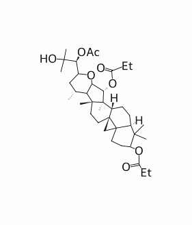 CCC(=O)OC1CCC23C[C@]24CC[C@]2(C)C5C(OC([C@H](OC(C)=O)C(C)(C)O)C[C@H]5C)[C@H](OC(=O)CC)[C@@]2(C)[C@@H]4CC[C@H]3C1(C)C